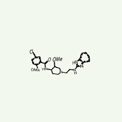 COc1ccc(Cl)cc1C(=O)NC1CCN(CCNc2nc3ccccc3[nH]2)CC1OC